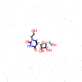 O=c1[nH]c(=O)n(CCO)cc1[C@@H]1O[C@H](CO)C(O)C1O